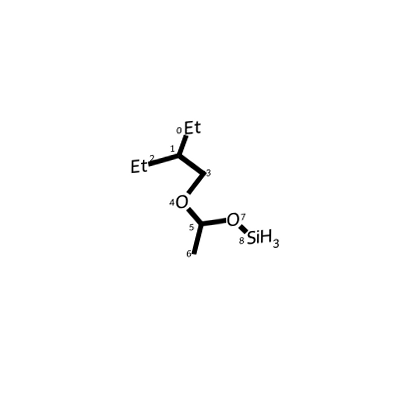 CCC(CC)COC(C)O[SiH3]